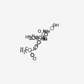 CC1(C)CCC(CN2CCN(c3ccc(C(=O)NS(=O)(=O)c4ccc(NC[C@H]5CC[C@H](O)CC5)c([N+](=O)[O-])c4)c(-n4ncc5nc6[nH]ccc6cc54)c3)CC2)=C(c2ccc(Cl)cc2)C1